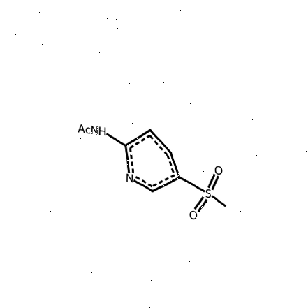 CC(=O)Nc1ccc(S(C)(=O)=O)cn1